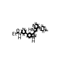 CCC(=O)Nc1cncc(-c2ccc3[nH]nc(-c4cc5c(N6CCN(C)CC6)ccnc5[nH]4)c3c2)c1